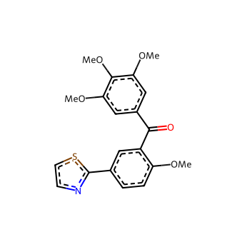 COc1ccc(-c2nccs2)cc1C(=O)c1cc(OC)c(OC)c(OC)c1